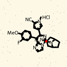 COc1ccc(-c2c(-c3cc(C#N)n(C)c3)nc(N3C4CCC3CC(N)C4)n3ccnc23)cc1F.Cl